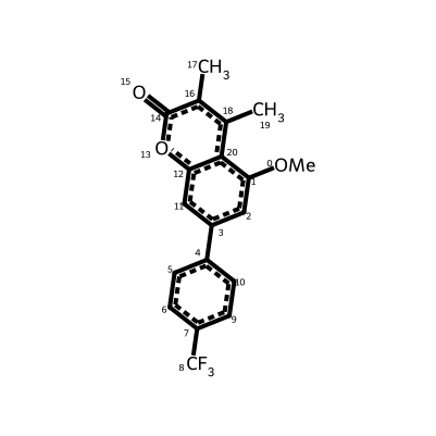 COc1cc(-c2ccc(C(F)(F)F)cc2)cc2oc(=O)c(C)c(C)c12